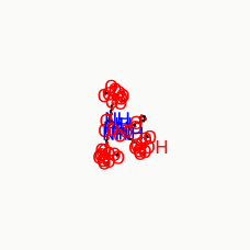 CC(=O)OC[C@@H]1[C@H](COC(C)=O)[C@H](OC(C)=O)[C@@H](OC(C)=O)C[C@H]1OCCCCCCNC(=O)C(CCC(=O)NCCCCCCOC1O[C@H](COC(C)=O)[C@@H](OC(C)=O)[C@H](OC(C)=O)[C@@H]1OC(C)=O)NC(=O)CCC(NC(=O)CCCC(=O)OCc1ccccc1)C(=O)NCCCCCCO[C@H]1O[C@H](COC(C)=O)[C@@H](O)[C@H](OC(C)=O)[C@@H]1OC(C)=O